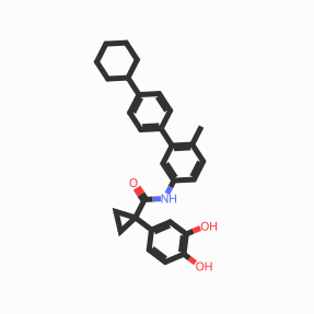 Cc1ccc(NC(=O)C2(c3ccc(O)c(O)c3)CC2)cc1-c1ccc(C2CCCCC2)cc1